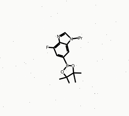 CC(C)n1cnc2c(F)cc(B3OC(C)(C)C(C)(C)O3)cc21